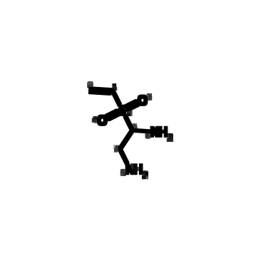 C=CS(=O)(=O)C(N)CN